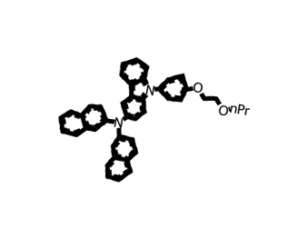 CCCOCCOc1ccc(-n2c3ccccc3c3cc(N(c4ccc5ccccc5c4)c4ccc5ccccc5c4)ccc32)cc1